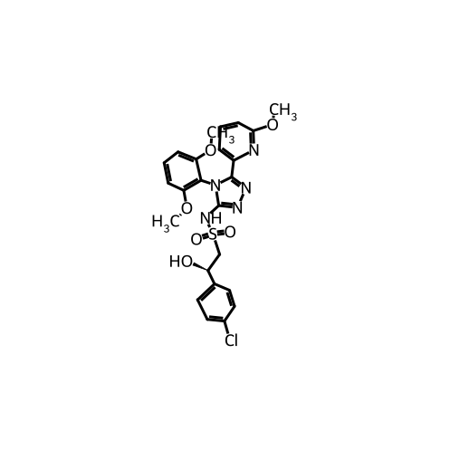 COc1cccc(-c2nnc(NS(=O)(=O)C[C@H](O)c3ccc(Cl)cc3)n2-c2c(OC)cccc2OC)n1